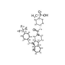 C[C@]1(C(=O)O)CC[C@H](CC(=O)N2CCc3c(n(Cc4ccc(C(F)(F)F)cc4)c4ncccc34)C2)CC1